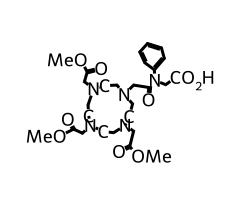 COC(=O)CN1CCN(CC(=O)OC)CCN(CC(=O)N(CC(=O)O)c2ccccc2)CCN(CC(=O)OC)CC1